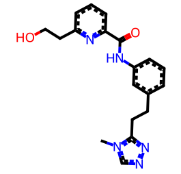 Cn1cnnc1CCc1cccc(NC(=O)c2cccc(CCO)n2)c1